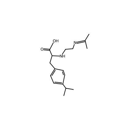 CC(C)=NCCNC(Cc1ccc(C(C)C)cc1)C(=O)O